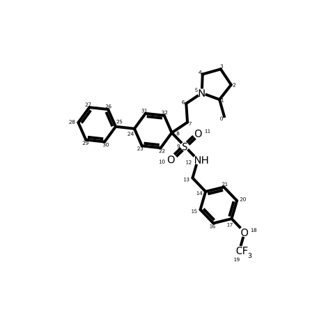 CC1CCCN1CCC1(S(=O)(=O)NCc2ccc(OC(F)(F)F)cc2)C=CC(c2ccccc2)C=C1